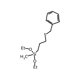 CCO[Si](C)(CCCSCc1ccccc1)OCC